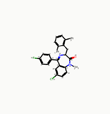 CC(C)c1cccc(C(C)C)c1CC1N=C(c2ccc(F)cc2)c2cc(Cl)ccc2N(C)C1=O